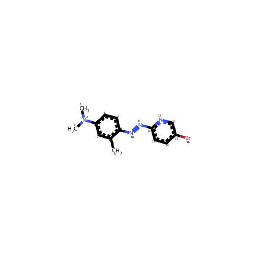 Cc1cc(N(C)C)ccc1/N=N/c1ccc(Br)cn1